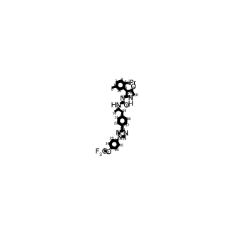 Cc1ccc(C(C)C)c(C2C(=O)CN/C2=N\C(=O)NC(C)Cc2ccc(-c3ncn(-c4ccc(OC(F)(F)F)cc4)n3)cc2)c1